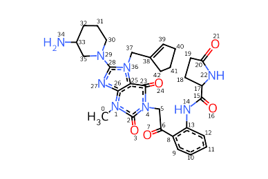 Cn1c(=O)n(CC(=O)c2ccccc2NC(=O)C2CCC(=O)N2)c(=O)c2c1nc(N1CCCC(N)C1)n2CC1=CCCC1